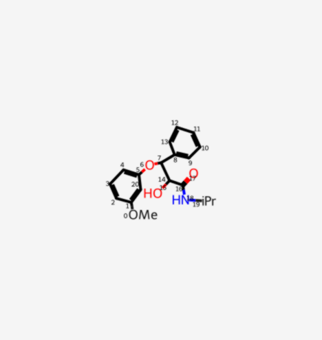 COc1cccc(OC(c2ccccc2)C(O)C(=O)NC(C)C)c1